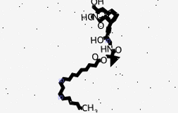 CCCCC/C=C\C/C=C\CCCCCCCC(=O)OCC1(C(=O)N/C=C(\O)C#Cc2cccc3cc(CO)n(O)c(=O)c23)CC1